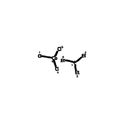 CCP(CC)CC.[Cl][Co]([Cl])[Cl]